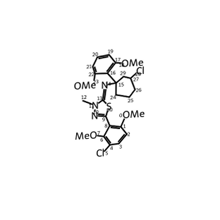 COc1ccc(Cl)c(OC)c1-c1nn(C)c(=NC2(c3c(OC)cccc3OC)CCCC(Cl)C2)s1